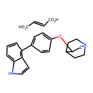 O=C(O)C=CC(=O)O.c1cc(-c2ccc(OC3CN4CCC3CC4)cc2)c2cc[nH]c2c1